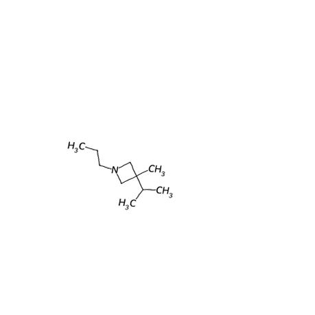 CCCN1CC(C)(C(C)C)C1